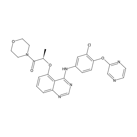 C[C@@H](Oc1cccc2ncnc(Nc3ccc(Oc4cnccn4)c(Cl)c3)c12)C(=O)N1CCOCC1